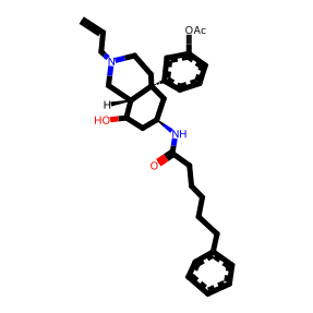 C=CCN1CC[C@@]2(c3cccc(OC(C)=O)c3)C[C@@H](NC(=O)CCCCCc3ccccc3)CC(O)[C@@H]2C1